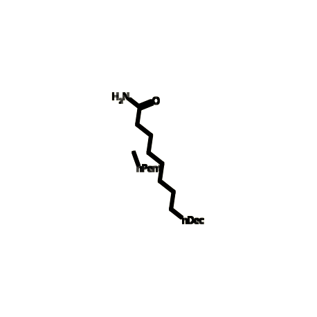 CCCCCC.CCCCCCCCCCCCCCCCCC(N)=O